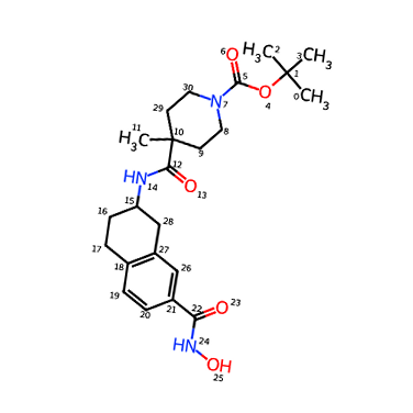 CC(C)(C)OC(=O)N1CCC(C)(C(=O)NC2CCc3ccc(C(=O)NO)cc3C2)CC1